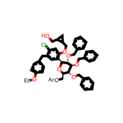 CCOc1ccc(Cc2cc([C@@H]3O[C@H](COC(C)=O)[C@@H](OCc4ccccc4)[C@H](OCc4ccccc4)[C@H]3OCc3ccccc3)c(OCC3CC3CO)cc2Cl)cc1